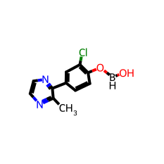 Cc1nccnc1-c1ccc(OBO)c(Cl)c1